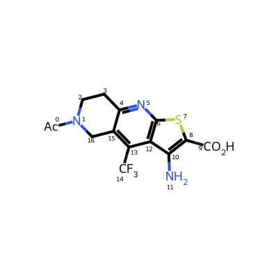 CC(=O)N1CCc2nc3sc(C(=O)O)c(N)c3c(C(F)(F)F)c2C1